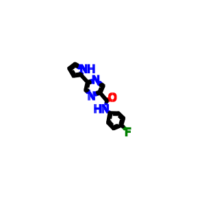 O=C(Nc1ccc(F)cc1)c1cnc(-c2ccc[nH]2)cn1